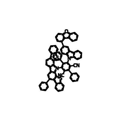 N#Cc1c(-c2ccccc2)c(C#N)c(-n2c3c(ccc4c5ccccc5sc43)c3cc(-c4ccccc4)c4c5ccccc5sc4c32)c(-c2ccccc2)c1-n1c2ccccc2c2cc(-c3cccc4oc5ccccc5c34)ccc21